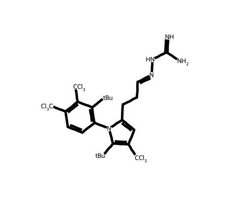 CC(C)(C)c1c(-n2c(CCC=NNC(=N)N)cc(C(Cl)(Cl)Cl)c2C(C)(C)C)ccc(C(Cl)(Cl)Cl)c1C(Cl)(Cl)Cl